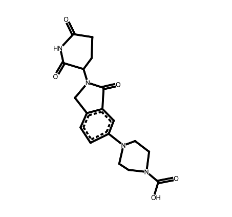 O=C1CCC(N2Cc3ccc(N4CCN(C(=O)O)CC4)cc3C2=O)C(=O)N1